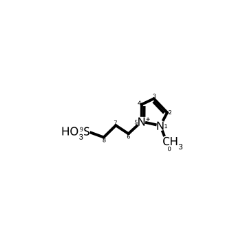 Cn1ccc[n+]1CCCS(=O)(=O)O